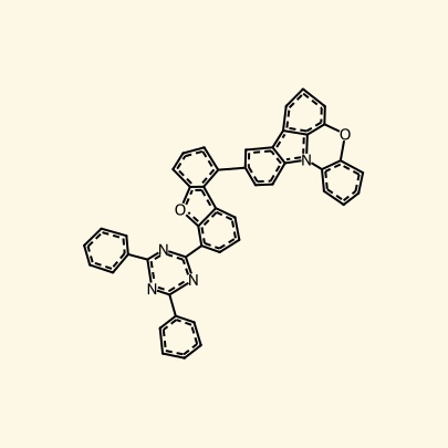 c1ccc(-c2nc(-c3ccccc3)nc(-c3cccc4c3oc3cccc(-c5ccc6c(c5)c5cccc7c5n6-c5ccccc5O7)c34)n2)cc1